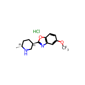 C[C@@H]1CC[C@@H](c2nc3cc(OC(F)(F)F)ccc3o2)CN1.Cl